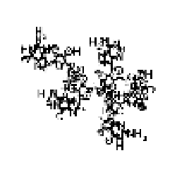 COC1C(OP(=O)(O)OCC2OC(n3cnc4c(=O)[nH]c(N)nc43)C(O)C2OP(=O)(O)OCC2OC(n3cnc4c(=O)[nH]c(N)nc43)C(O)C2O)C(COP(=O)(O)OP(=O)([O-])OP(=O)(O)OCC2OC(n3c[n+](C)c4c(=O)[nH]c(N)nc43)C(F)(F)C2O)OC1n1cnc2c(N)ncnc21